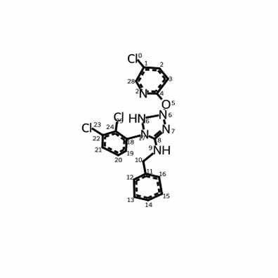 Clc1ccc(ON2N=C(NCc3ccccc3)N(c3cccc(Cl)c3Cl)N2)nc1